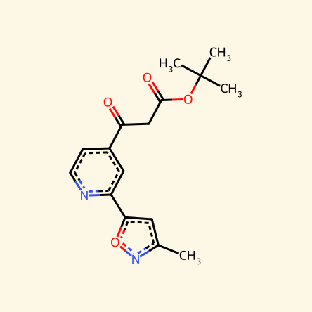 Cc1cc(-c2cc(C(=O)CC(=O)OC(C)(C)C)ccn2)on1